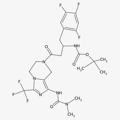 CN(C)C(=O)Nc1nc(C(F)(F)F)n2c1CN(C(=O)CC(Cc1cc(F)c(F)cc1F)NC(=O)OC(C)(C)C)CC2